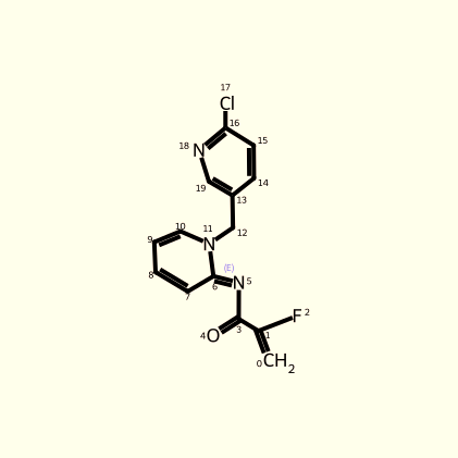 C=C(F)C(=O)/N=c1\ccccn1Cc1ccc(Cl)nc1